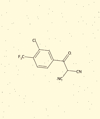 N#CC(C#N)C(=O)c1ccc(C(F)(F)F)c(Cl)c1